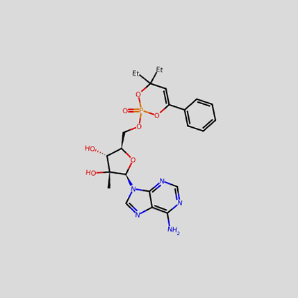 CCC1(CC)C=C(c2ccccc2)OP(=O)(OC[C@H]2O[C@@H](n3cnc4c(N)ncnc43)[C@](C)(O)[C@@H]2O)O1